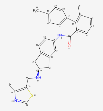 Cc1cccc(C(=O)Nc2ccc3c(c2)C[C@@H](NCc2scnc2C)C3)c1-c1ccc(C(F)(F)F)cc1